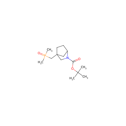 CC(C)(C)OC(=O)N1CC2(CP(C)(C)=O)CCC1C2